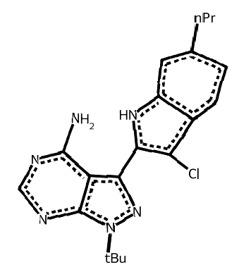 CCCc1ccc2c(Cl)c(-c3nn(C(C)(C)C)c4ncnc(N)c34)[nH]c2c1